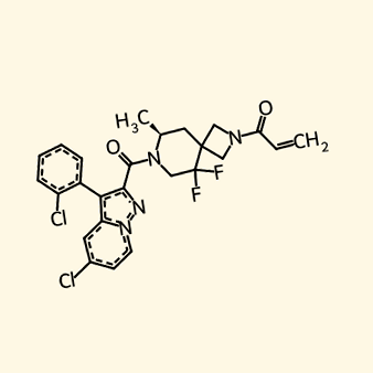 C=CC(=O)N1CC2(C[C@H](C)N(C(=O)c3nn4ccc(Cl)cc4c3-c3ccccc3Cl)CC2(F)F)C1